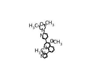 COc1c(-c2ccc(N3C[C@@H](C)O[C@@H](C)C3)nc2)cnc2c(-c3ccnn3C)cccc12